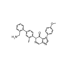 COc1ccc(-n2cnc3c2C(=O)C(c2ccc(-c4ccccc4CN)cc2F)N=C3)cc1